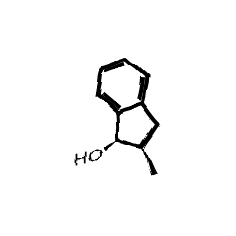 C[C@@H]1Cc2ccccc2[C@@H]1O